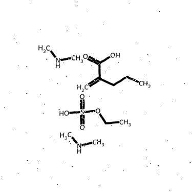 C=C(CCC)C(=O)O.CCOS(=O)(=O)O.CNC.CNC